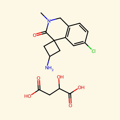 CN1Cc2ccc(Cl)cc2C2(CC(N)C2)C1=O.O=C(O)CC(O)C(=O)O